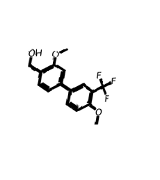 COc1cc(-c2ccc(OC)c(C(F)(F)F)c2)ccc1CO